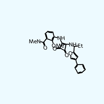 CCC(Nc1c(Nc2cccc(C(=O)NC)c2OC)c(=O)c1=O)c1cc(-c2ccccc2)co1